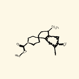 CCOC(=O)C1CC2(CCN(C(=O)OC(C)(C)C)CC2)c2cc(C)c(Cl)cc21